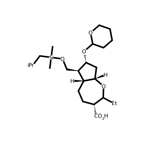 CCC1O[C@H]2C[C@@H](OC3CCCCO3)[C@H](CO[Si](C)(C)CC(C)C)[C@H]2CC[C@H]1C(=O)O